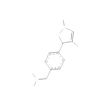 CN(C)Cc1ccc(C2NN(C)C=C2Br)cc1